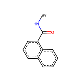 CC(C)NC(=O)c1cccc2ccccc12